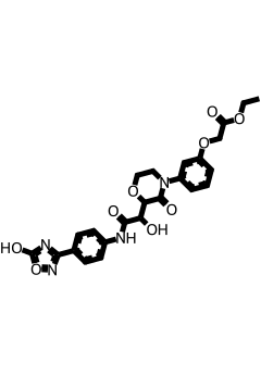 CCOC(=O)COc1cccc(N2CCOC(C(O)C(=O)Nc3ccc(-c4noc(O)n4)cc3)C2=O)c1